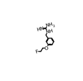 N=C(N)NCc1cccc(OCCF)c1